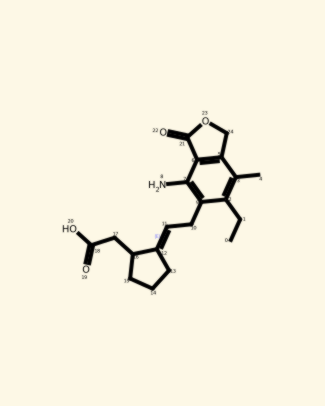 CCc1c(C)c2c(c(N)c1C/C=C1\CCCC1CC(=O)O)C(=O)OC2